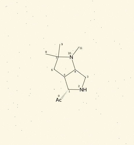 CC(=O)[C@H]1NCC2C1CC(C)(C)N2C